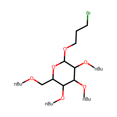 CCCCOCC1OC(OCCCBr)C(OCCCC)C(OCCCC)C1OCCCC